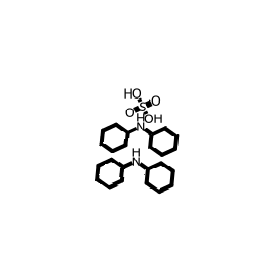 C1CCC(NC2CCCCC2)CC1.C1CCC(NC2CCCCC2)CC1.O=S(=O)(O)O